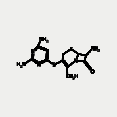 Nc1cc(SC2=C(C(=O)O)N3C(=O)C(N)C3SC2)nc(N)n1